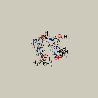 COc1ccc2c(N3CCN(C(=O)O)C(C(C)(C)C)C3)ccnc2c1.COc1ccc2c(N3CCN(C(=O)OC(C)(C)C)CC3)ccnc2c1